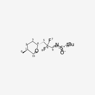 C[C@H]1CC[C@H](CC(F)(F)/C=N/[S+]([O-])C(C)(C)C)OC1